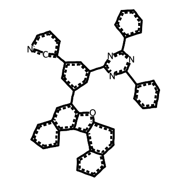 c1ccc(-c2nc(-c3ccccc3)nc(-c3cc(-c4cccnc4)cc(-c4cc5ccccc5c5c4oc4ccc6ccccc6c45)c3)n2)cc1